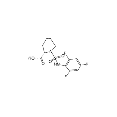 O=C(O)[C@@H]1CCCCN1S(=O)(=O)Nc1c(F)cc(F)cc1F